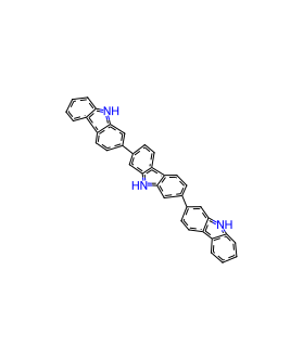 c1ccc2c(c1)[nH]c1cc(-c3ccc4c(c3)[nH]c3cc(-c5ccc6c(c5)[nH]c5ccccc56)ccc34)ccc12